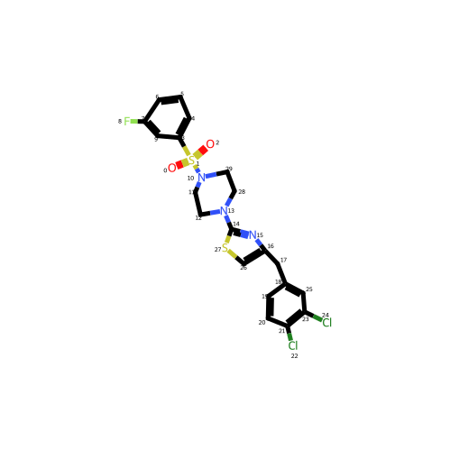 O=S(=O)(c1cccc(F)c1)N1CCN(c2nc(Cc3ccc(Cl)c(Cl)c3)cs2)CC1